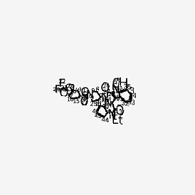 CCN(C(=O)c1nn(C2CCN(S(=O)(=O)c3ccc4c(c3)OC(F)(F)O4)CC2)c(=O)c2c1c1ccccc1n2C)c1ccccc1